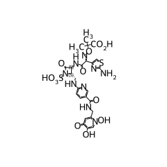 CC(C)(ON=C(C(=O)N[C@@H]1C(=O)N(S(=O)(=O)O)[C@H]1CNc1ccc(C(=O)NCc2cc(=O)c(O)cn2O)cn1)c1csc(N)n1)C(=O)O